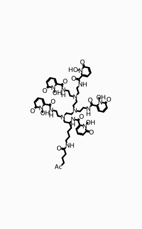 CC(=O)CCCC(=O)NCCCCC(CN(CCNC(=O)c1cccc(=O)n1O)CCN(CCNC(=O)c1cccc(=O)n1O)CCN(CCNC(=O)c1cccc(=O)n1O)CCNC(=O)c1cccc(=O)n1O)NC(=O)c1cccc(=O)n1O